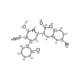 COc1nc(-c2cc3cc(Br)ccc3oc2=O)cc(-c2ccccc2Cl)c1C#N